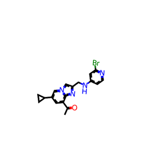 CC(=O)c1cc(C2CC2)cn2cc(CNc3ccnc(Br)c3)nc12